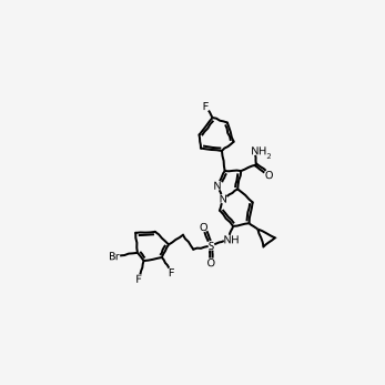 NC(=O)c1c(-c2ccc(F)cc2)nn2cc(NS(=O)(=O)CCc3ccc(Br)c(F)c3F)c(C3CC3)cc12